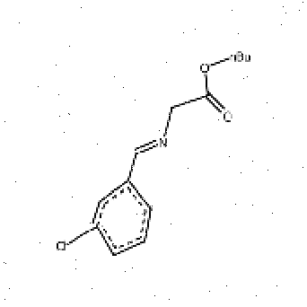 CCCCOC(=O)C/N=C/c1cccc(Cl)c1